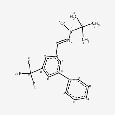 CC(C)(C)[S+]([O-])N=Cc1cc(-c2ccccc2)cc(C(F)(F)F)c1